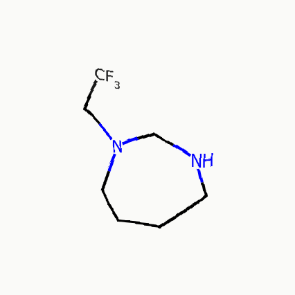 FC(F)(F)CN1CCCCNC1